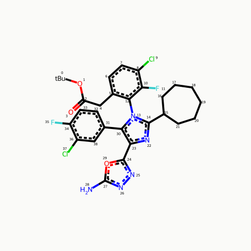 CC(C)(C)OC(=O)Cc1ccc(Cl)c(F)c1-n1c(C2CCCCCC2)nc(-c2nnc(N)o2)c1-c1ccc(F)c(Cl)c1